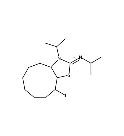 CC(C)/N=C1\SC2C(I)CCCCCCC2N1C(C)C